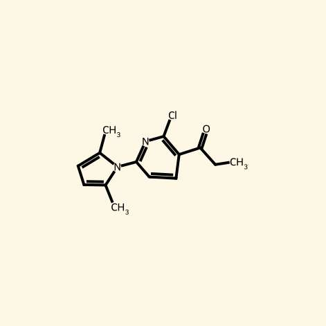 CCC(=O)c1ccc(-n2c(C)ccc2C)nc1Cl